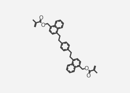 C=C(C)C(=O)OCc1ccc(CCc2ccc(CCc3ccc(COC(=O)C(=C)C)c4ccccc34)cc2)c2ccccc12